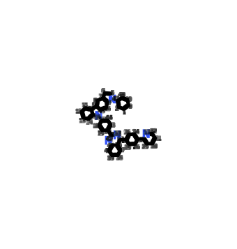 c1ccc(-n2ccc3cc4c5ccccc5n(-c5ccc(-c6nc(-c7ccc(-c8ccccn8)cc7)c7ccccc7n6)cc5)c4cc32)cc1